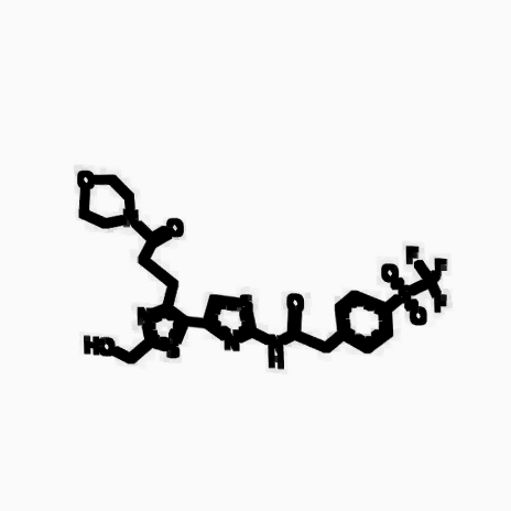 O=C(Cc1ccc(S(=O)(=O)C(F)(F)F)cc1)Nc1nc(-c2sc(CO)nc2CCC(=O)N2CCOCC2)cs1